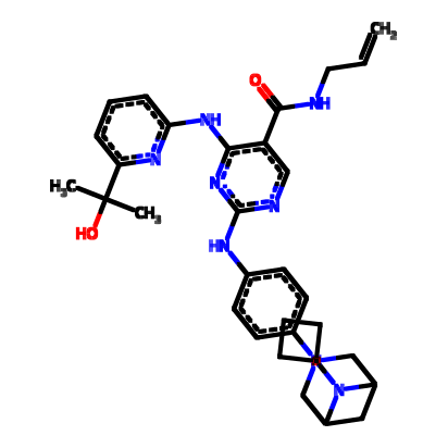 C=CCNC(=O)c1cnc(Nc2ccc(N3CC4CC(C3)N4C3CCC3)cc2)nc1Nc1cccc(C(C)(C)O)n1